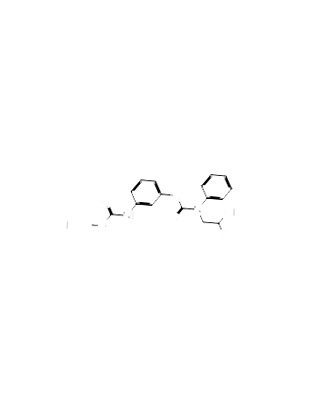 COC(=O)Nc1cccc(OC(=O)N(CC(C)C)c2ccccc2)c1